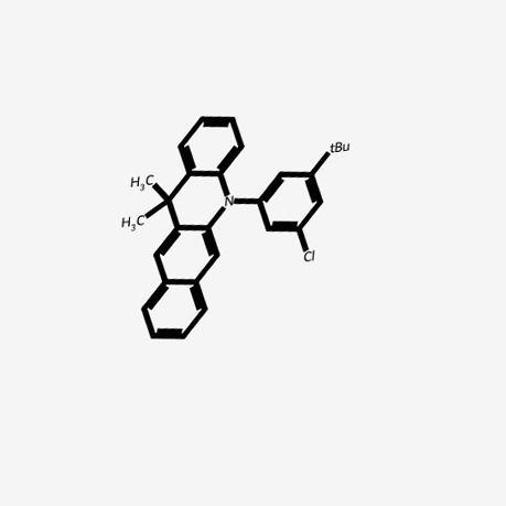 CC(C)(C)c1cc(Cl)cc(N2c3ccccc3C(C)(C)c3cc4ccccc4cc32)c1